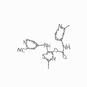 Cc1cc(NC(=O)Oc2nc(C)sc2Nc2ccnc(C#N)c2)ccn1